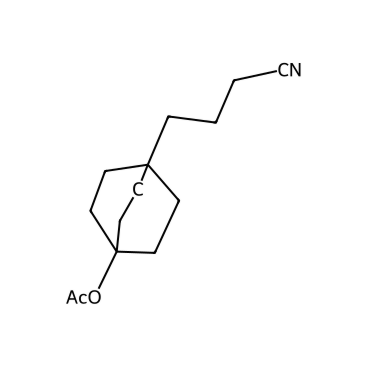 CC(=O)OC12CCC(CCCC#N)(CC1)CC2